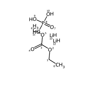 CCOC(=O)OC.O=P(O)(O)O.[LiH].[LiH]